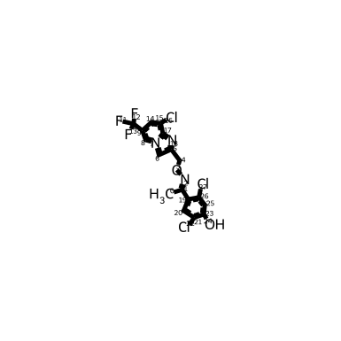 C/C(=N\OCc1cn2cc(C(F)(F)F)cc(Cl)c2n1)c1cc(Cl)c(O)cc1Cl